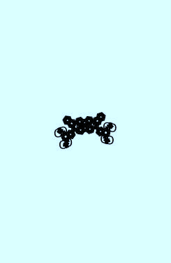 CC(=O)OC1CCC(OC(C)=O)c2cc(N(c3ccc4c(c3)C3(c5ccccc5-c5ccccc53)c3cc(N(c5ccc6c(c5)C(OC(C)=O)CCC6OC(C)=O)c5ccc6ccccc6c5)ccc3-4)c3ccc4ccccc4c3)ccc21